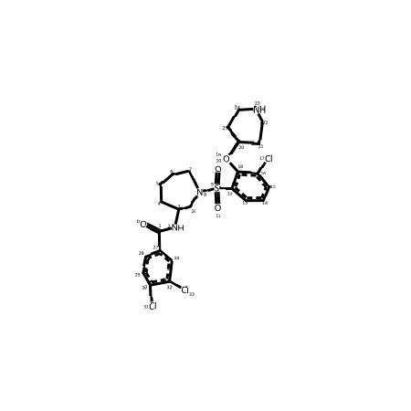 O=C(NC1CCCCN(S(=O)(=O)c2cccc(Cl)c2OC2CCNCC2)C1)c1ccc(Cl)c(Cl)c1